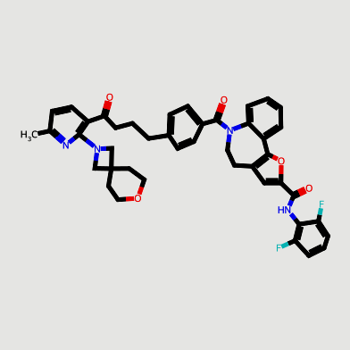 Cc1ccc(C(=O)CCCc2ccc(C(=O)N3CCc4cc(C(=O)Nc5c(F)cccc5F)oc4-c4ccccc43)cc2)c(N2CC3(CCOCC3)C2)n1